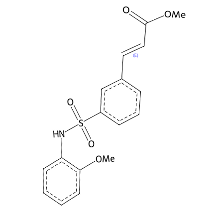 COC(=O)/C=C/c1cccc(S(=O)(=O)Nc2ccccc2OC)c1